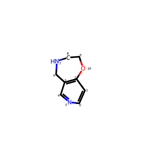 c1cc2c(cn1)CNCCO2